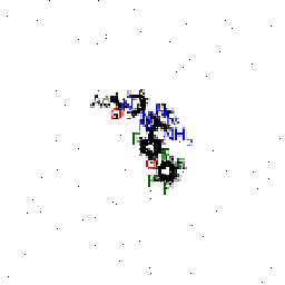 CC(=O)CC(=O)N1CCCC(n2nc(-c3ccc(Oc4c(F)c(F)cc(F)c4F)cc3F)c3c(N)ncnc32)C1